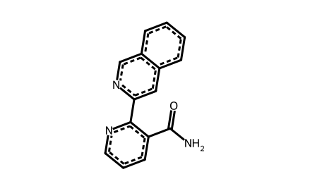 NC(=O)c1cccnc1-c1cc2ccccc2cn1